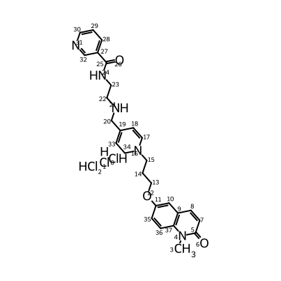 Cl.Cl.Cl.Cn1c(=O)ccc2cc(OCCCN3C=CC(CNCCNC(=O)c4cccnc4)=CC3)ccc21